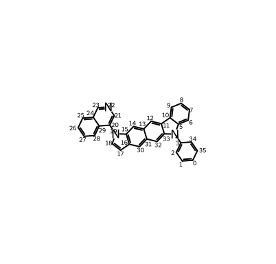 c1ccc(-n2c3ccccc3c3cc4cc5c(ccn5-c5cncc6ccccc56)cc4cc32)cc1